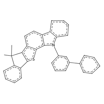 CC1(C)c2ccccc2-c2sc3c(ccc4c5ccccc5n(-c5cccc(-c6ccccc6)c5)c43)c21